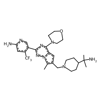 Cc1c(CN2CCC(C(C)(C)N)CC2)cc2c(N3CCOCC3)nc(-c3cnc(N)cc3C(F)(F)F)nn12